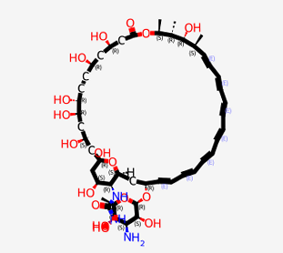 C[C@@H]1[C@H](O)[C@@H](C)/C=C/C=C/C=C/C=C/C=C/C=C/C=C/[C@H](O[C@@H]2O[C@H](C)[C@@H](O)[C@H](N)[C@@H]2O)C[C@@H]2O[C@](O)(C[C@@H](O)C[C@@H](O)[C@H](O)CC[C@@H](O)C[C@@H](O)CC(=O)O[C@H]1C)C[C@H](O)[C@H]2NC(=O)NO